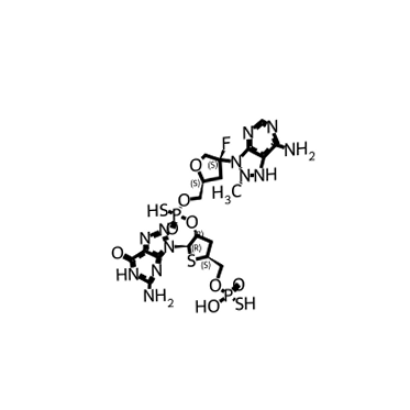 CN1Nc2c(N)ncnc2N1[C@@]1(F)CO[C@H](COP(=O)(S)O[C@@H]2C[C@@H](COP(=O)(O)S)S[C@H]2n2nnc3c(=O)[nH]c(N)nc32)C1